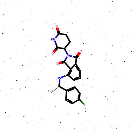 C[C@H](Nc1cccc2c1C(=O)N(C1CCC(=O)NC1=O)C2=O)c1ccc(F)cc1